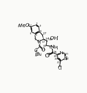 COc1ccc2c(c1)CN(C(=O)OC(C)(C)C)[C@H]([C@H](O)CNC(=O)c1cc(Cl)ncn1)C2